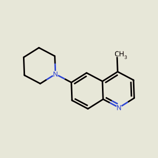 Cc1ccnc2ccc(N3CCCCC3)cc12